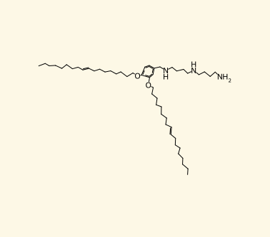 CCCCCCCCC=CCCCCCCCCOc1ccc(CNCCCCNCCCCN)cc1OCCCCCCCCC=CCCCCCCCC